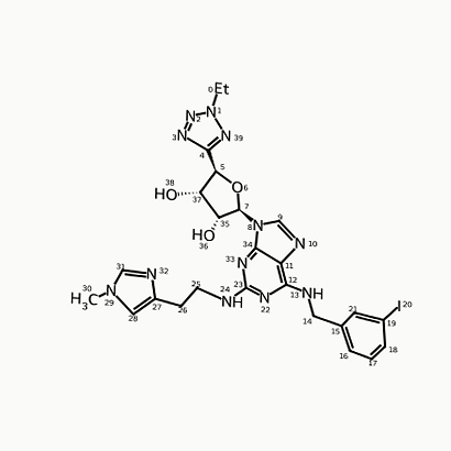 CCn1nnc([C@H]2O[C@@H](n3cnc4c(NCc5cccc(I)c5)nc(NCCc5cn(C)cn5)nc43)[C@H](O)[C@@H]2O)n1